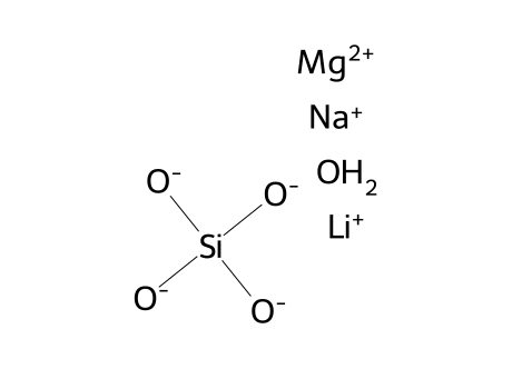 O.[Li+].[Mg+2].[Na+].[O-][Si]([O-])([O-])[O-]